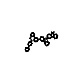 CC1(C)c2ccccc2-c2cc(-n3c4c(c5ccccc53)CC(c3ccc5c(c3)-c3ccccc3CN5c3ccc(-c5ccccc5)cc3)C=C4)ccc21